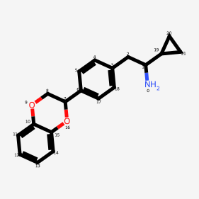 NC(Cc1ccc(C2COc3ccccc3O2)cc1)C1CC1